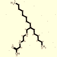 CCCCCCCCC(CCCCCC)COCCOCC(=O)O